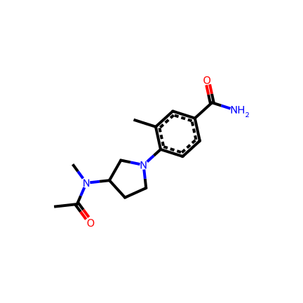 CC(=O)N(C)C1CCN(c2ccc(C(N)=O)cc2C)C1